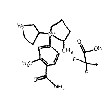 Cc1cc([N+]2(C3CCNC3)CCCC2C)ccc1C(N)=O.O=C(O)C(F)(F)F